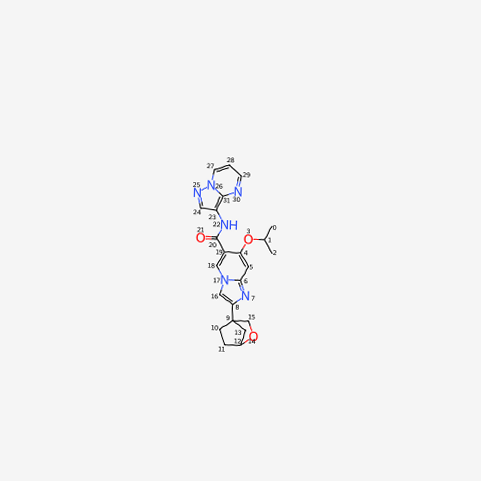 CC(C)Oc1cc2nc(C34CCC(C3)OC4)cn2cc1C(=O)Nc1cnn2cccnc12